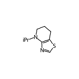 CC(C)N1CCCc2scnc21